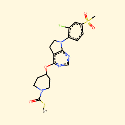 CC(C)SC(=O)N1CCC(Oc2ncnc3c2CCN3c2ccc(S(C)(=O)=O)cc2F)CC1